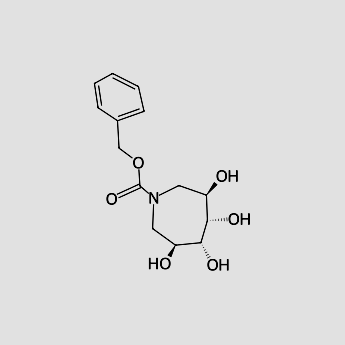 O=C(OCc1ccccc1)N1C[C@@H](O)[C@H](O)[C@H](O)[C@@H](O)C1